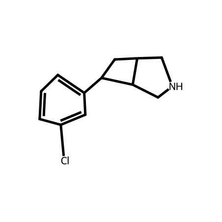 Clc1cccc(C2CC3CNCC32)c1